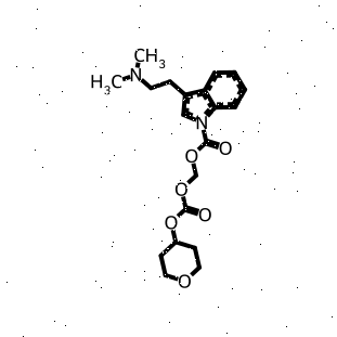 CN(C)CCc1cn(C(=O)OCOC(=O)OC2CCOCC2)c2ccccc12